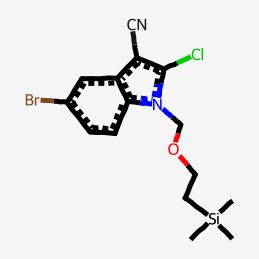 C[Si](C)(C)CCOCn1c(Cl)c(C#N)c2cc(Br)ccc21